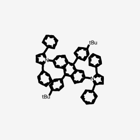 CC(C)(C)c1ccc(-c2c3ccc(-n4c(-c5ccccc5)ccc4-c4ccccc4)cc3c(-c3ccc(C(C)(C)C)cc3)c3ccc(-n4c(-c5ccccc5)ccc4-c4ccccc4)cc23)cc1